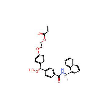 C=CC(=O)OCCOc1ccc(C(OO)c2ccc(C(=O)N[C@@H](C)c3cccc4ccccc34)cc2)cc1